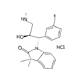 CNC[C@H](O)[C@H](c1cccc(F)c1)N1C(=O)C(C)(C)c2ccccc21.Cl